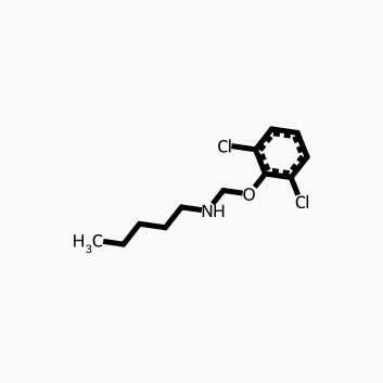 CCCCCNCOc1c(Cl)cccc1Cl